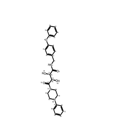 O=C(NCc1ccc(Oc2ccccc2)cc1)[C@H](O)[C@@H](O)C(=O)N1CCN(c2ccccc2)CC1